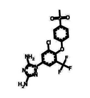 CS(=O)(=O)c1ccc(Oc2c(Cl)cc(-n3nc(N)nc3N)cc2C(F)(F)F)cc1